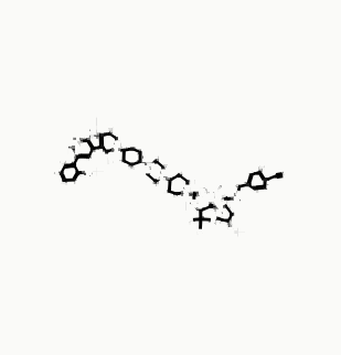 C#Cc1ccc(CNC(=O)[C@@H]2C[C@@H](O)CN2C(=O)[C@@H](NC(=O)N2CCC(N3CCN([C@H]4CC[C@H](N5CCc6[nH]c7nnc(-c8ccccc8O)cc7c6[C@H]5C)CC4)CC3)CC2)C(C)(C)C)cc1